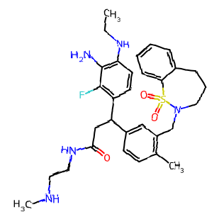 CCNc1ccc(C(CC(=O)NCCNC)c2ccc(C)c(CN3CCCc4ccccc4S3(=O)=O)c2)c(F)c1N